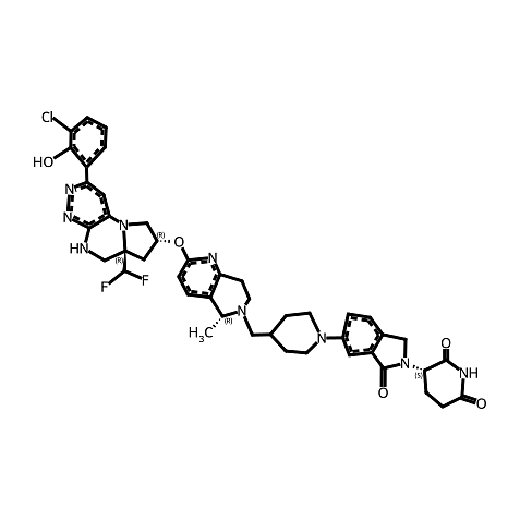 C[C@@H]1c2ccc(O[C@H]3CN4c5cc(-c6cccc(Cl)c6O)nnc5NC[C@@]4(C(F)F)C3)nc2CCN1CC1CCN(c2ccc3c(c2)C(=O)N([C@H]2CCC(=O)NC2=O)C3)CC1